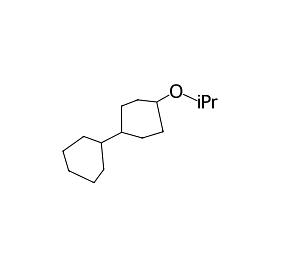 CC(C)OC1CCC(C2CCCCC2)CC1